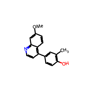 COc1ccc2c(-c3ccc(O)c(C)c3)ccnc2c1